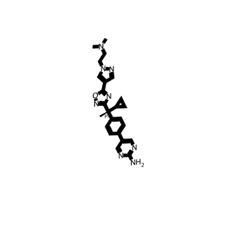 CN(C)CCn1cc(-c2nc([C@@](C)(c3ccc(-c4cnc(N)nc4)cc3)C3CC3)no2)cn1